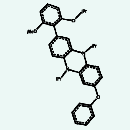 COc1cccc(OC(C)C)c1-c1ccc2c(c1)N(C(C)C)c1ccc(Oc3ccccc3)cc1N2C(C)C